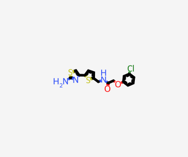 Nc1nc(-c2ccc(CNC(=O)COc3cccc(Cl)c3)s2)cs1